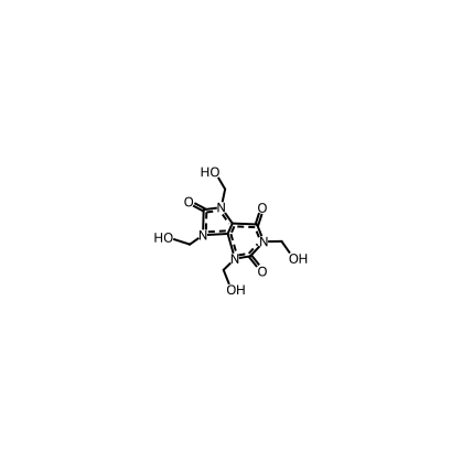 O=c1c2c(n(CO)c(=O)n1CO)n(CO)c(=O)n2CO